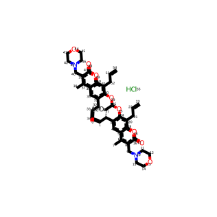 C=CCc1cc2c(C)c(CN3CCOCC3)c(=O)oc2c(CC=C)c1OC(COC(C)=O)Oc1c(CC=C)cc2c(C)c(CN3CCOCC3)c(=O)oc2c1CC=C.Cl